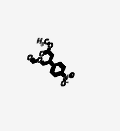 COC(=O)CC(COC=O)c1ccc([N+](=O)[O-])cc1